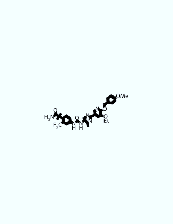 CCOc1cc(-c2ncc(NC(=O)Nc3ccc(C(C)(C)C(N)=O)c(C(F)(F)F)c3)c(C)n2)cnc1OCc1ccc(OC)cc1